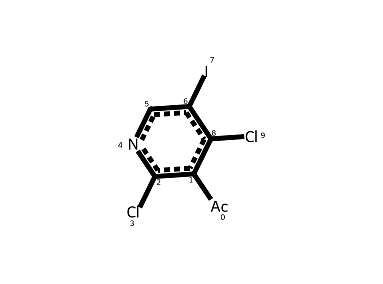 CC(=O)c1c(Cl)ncc(I)c1Cl